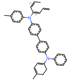 C=C/C=C(\C=C/C)N(c1ccc(C)cc1)c1ccc(-c2ccc(N(C3=CC=C(C)CC3)c3ccccc3)cc2)cc1